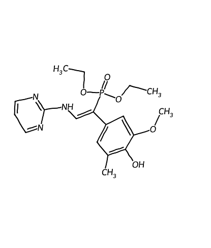 CCOP(=O)(OCC)C(=CNc1ncccn1)c1cc(C)c(O)c(OC)c1